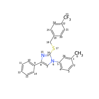 Cc1cccc(-n2cc(-c3ccccc3)nc2SCc2ccc(C(F)(F)F)cc2)c1